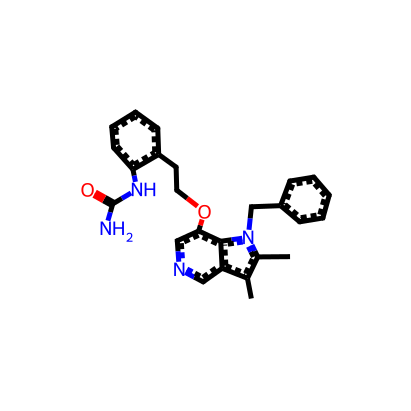 Cc1c(C)n(Cc2ccccc2)c2c(OCCc3ccccc3NC(N)=O)cncc12